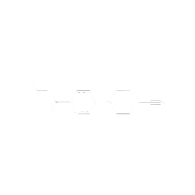 CCOC(=O)c1ccc(N2CCB(C#N)CC2)cn1